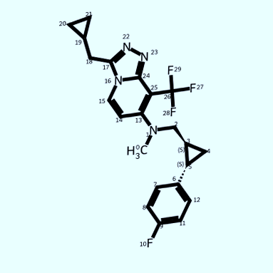 CN(C[C@H]1C[C@@H]1c1ccc(F)cc1)c1ccn2c(CC3CC3)nnc2c1C(F)(F)F